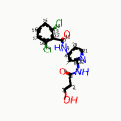 O=C(CCO)Nc1cc(NC(=O)c2c(Cl)cccc2Cl)ccn1